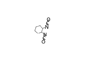 O=C=NC1CCCCC1N=C=O